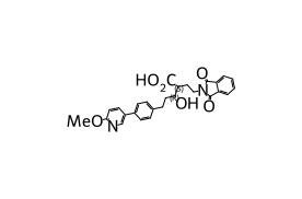 COc1ccc(-c2ccc(CC[C@@H](O)[C@H](CCN3C(=O)c4ccccc4C3=O)C(=O)O)cc2)cn1